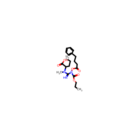 CCCOC(=O)N(OC(=O)CCCc1ccccc1)C(=N)N(C)C(CCC)C(=O)O